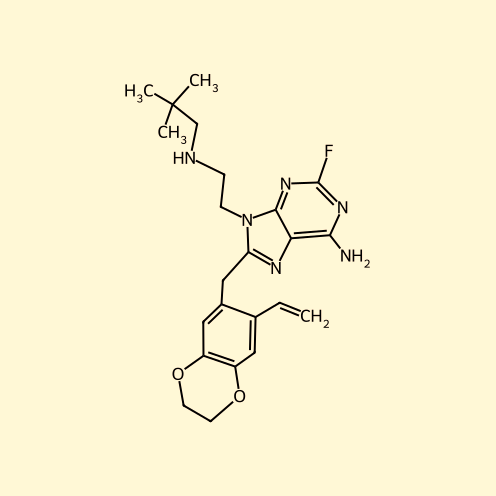 C=Cc1cc2c(cc1Cc1nc3c(N)nc(F)nc3n1CCNCC(C)(C)C)OCCO2